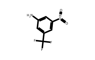 Nc1cc([SH](=O)=O)cc(C(F)(F)F)c1